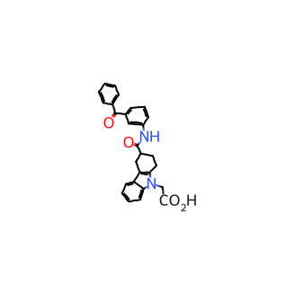 O=C(O)Cn1c2c(c3ccccc31)CC(C(=O)Nc1cccc(C(=O)c3ccccc3)c1)CC2